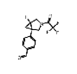 O=Cc1ccc([C@@]23C[C@@H]2CN(C(=O)C(F)(F)F)C3)cc1